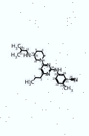 CCCc1cc(N2CCC[C@@H](NCC(C)C)C2)nc(Nc2ccc(C)c(C#N)c2)n1